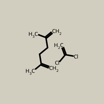 C=C(C)CCC(=C)C.C=C(Cl)Cl